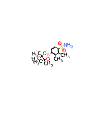 Cc1c(B2OC(C)(C)C(C)(C)O2)ccc(S(N)(=O)=O)c1C